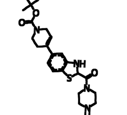 CC(C)(C)OC(=O)N1CC=C(c2ccc3c(c2)NC(C(=O)N2CCNCC2)S3)CC1